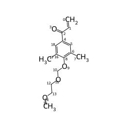 C=CC(=O)c1cc(C)c(OCOCCOC)c(C)c1